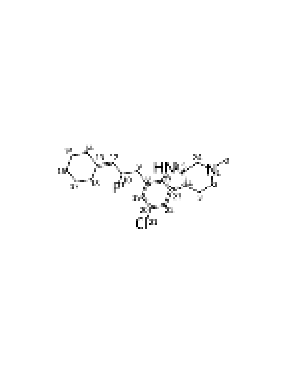 CN1CCc2c([nH]c3c(CC(F)C=C4CCCCC4)cc(Cl)cc23)C1